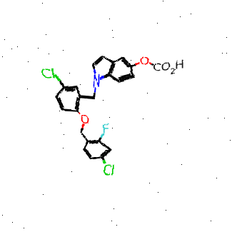 O=C(O)Oc1ccc2c(ccn2Cc2cc(Cl)ccc2OCc2ccc(Cl)cc2F)c1